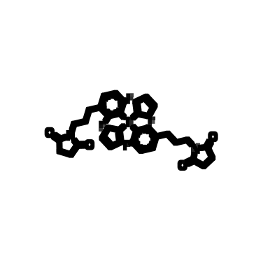 O=C1CCC(=O)N1CCCc1ccc(F)[c]([Ti]([C]2=CC=CC2)([C]2=CC=CC2)[c]2c(F)ccc(CCCN3C(=O)CCC3=O)c2F)c1F